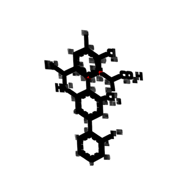 CCC(Nc1cc(-c2ccccc2F)cc(C(F)(F)F)c1C(=O)N(C)C(C)C(=O)O)c1ccc(Cl)c(C)c1